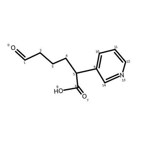 O=CCCCC(C(=O)O)c1cccnc1